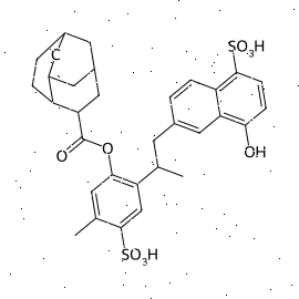 Cc1cc(OC(=O)C2CC3CC4CCC2C(C4)C3)c(C(C)Cc2ccc3c(S(=O)(=O)O)ccc(O)c3c2)cc1S(=O)(=O)O